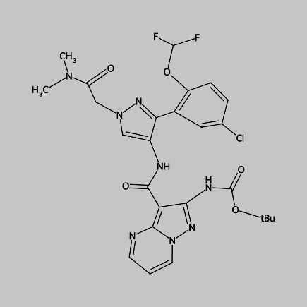 CN(C)C(=O)Cn1cc(NC(=O)c2c(NC(=O)OC(C)(C)C)nn3cccnc23)c(-c2cc(Cl)ccc2OC(F)F)n1